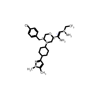 Cc1cc(C2CCC(N3C[C@H](/C(N)=C/N(N)CC(F)(F)F)OC[C@@H]3Cc3ccc(Cl)cc3)CC2)nn1C